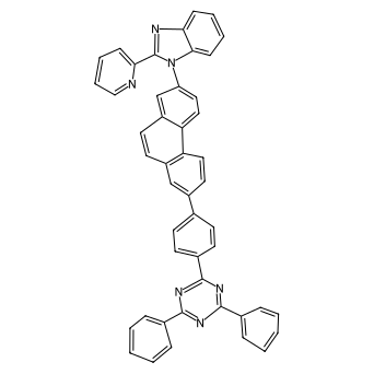 c1ccc(-c2nc(-c3ccccc3)nc(-c3ccc(-c4ccc5c(ccc6cc(-n7c(-c8ccccn8)nc8ccccc87)ccc65)c4)cc3)n2)cc1